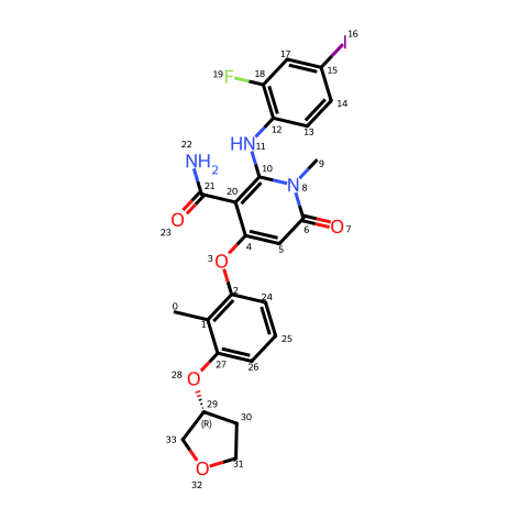 Cc1c(Oc2cc(=O)n(C)c(Nc3ccc(I)cc3F)c2C(N)=O)cccc1O[C@@H]1CCOC1